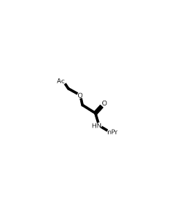 CCCNC(=O)COCC(C)=O